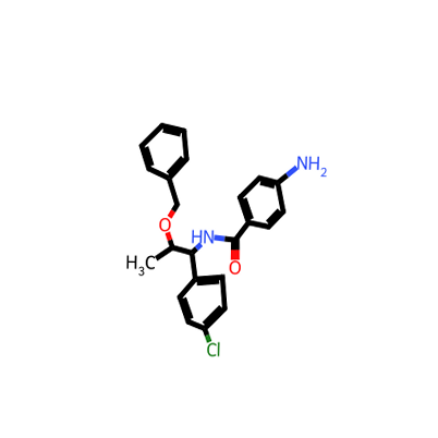 CC(OCc1ccccc1)C(NC(=O)c1ccc(N)cc1)c1ccc(Cl)cc1